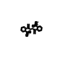 O=[N+]([O-])c1ccccc1NCCNc1ccccc1[N+](=O)[O-]